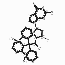 COc1ccccc1C(c1ccccc1)(c1ccccc1OC)C(O)[C@H]1O[C@@H](n2cnc3c(=O)[nH]c(N)nc32)C[C@@H]1O